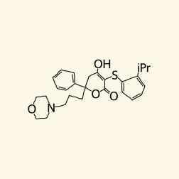 CC(C)c1ccccc1SC1=C(O)CC(CCCN2CCOCC2)(c2ccccc2)OC1=O